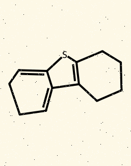 C1=c2sc3c(c2=CCC1)CCCC3